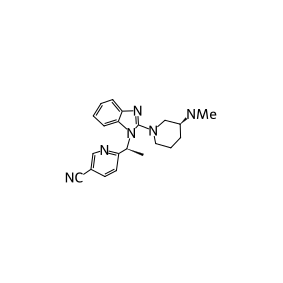 CN[C@H]1CCCN(c2nc3ccccc3n2[C@@H](C)c2ccc(C#N)cn2)C1